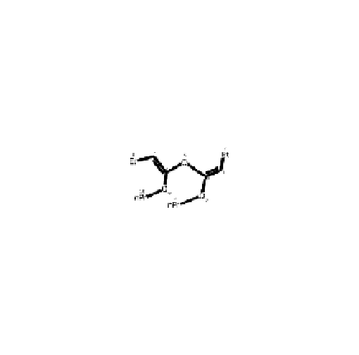 CCC=C(OCCC)OC(=CCC)OCCC